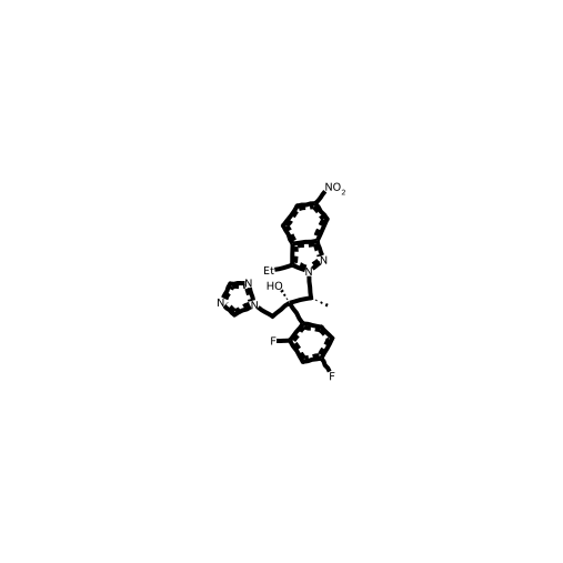 CCc1c2ccc([N+](=O)[O-])cc2nn1[C@H](C)[C@](O)(Cn1cncn1)c1ccc(F)cc1F